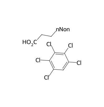 CCCCCCCCCCCC(=O)O.Clc1cc(Cl)c(Cl)c(Cl)c1Cl